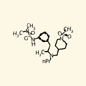 CCCN(CC1CCN(S(C)(=O)=O)CC1)C(C)Cc1cccc(NS(=O)(=O)N(C)C)c1